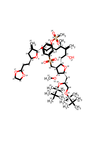 C=C([C@H](C)C[C@@H](CC[C@@H]1O[C@@H](CCC2OCCO2)CC1=C)OS(C)(=O)=O)[C@H](O)C[C@@H]1O[C@H](C[C@@H](CO[Si](C)(C)C(C)(C)C)O[Si](C)(C)C(C)(C)C)[C@H](OC)[C@H]1CS(=O)(=O)c1ccccc1